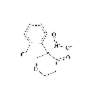 O=C1CCOCC1(c1ccccc1Cl)[N+](=O)[O-]